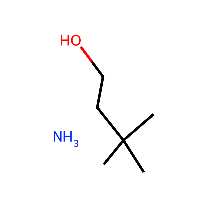 CC(C)(C)CCO.N